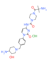 CC(C)(N)C(=O)N1CCN(C(=O)Nc2ccn(-c3ccc(CN4CC[C@H](N)[C@@H](O)C4)cc3)c(=O)n2)CC1.Cl